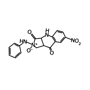 O=C1c2cc([N+](=O)[O-])ccc2NC2C(=O)[N+]([O-])(Nc3ccccc3)CC12